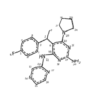 CC(c1ccc(F)cc1)c1c(Nc2cnccn2)nc(N)nc1N1CCCC1